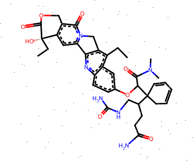 CCc1c2c(nc3ccc(OC(C(=O)N(C)C)C4(C(CCC(N)=O)CNC(N)=O)C=CC=CC4)cc13)-c1cc3c(c(=O)n1C2)COC(=O)[C@]3(O)CC